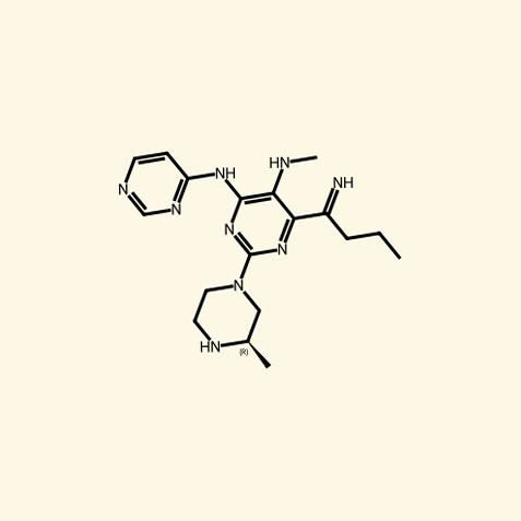 CCCC(=N)c1nc(N2CCN[C@H](C)C2)nc(Nc2ccncn2)c1NC